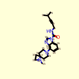 CC(C)C#CCNC(=O)n1cnc2c(N3CCC4(CC3)CCN4C)cccc21